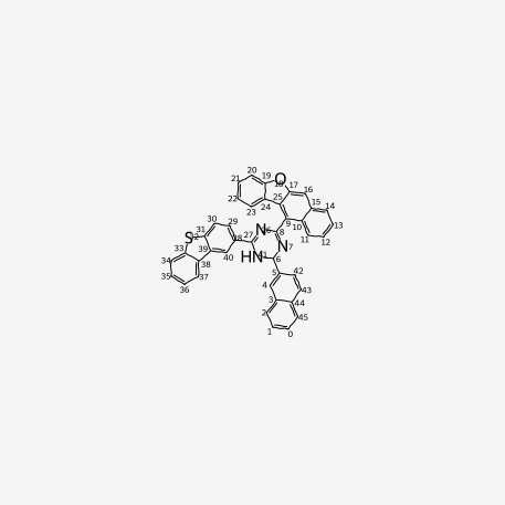 c1ccc2cc(C3N=C(c4c5ccccc5cc5oc6ccccc6c45)N=C(c4ccc5sc6ccccc6c5c4)N3)ccc2c1